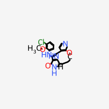 COc1c(Cl)cccc1Nc1c2[nH]c3c1C(=O)NC[C@H]3CCCCOc1cnccc1-2